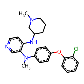 CN1CCCC(Nc2ccncc2N(C)c2ccc(Oc3ccccc3Cl)cc2)C1